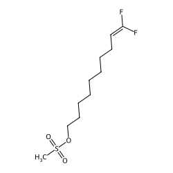 CS(=O)(=O)OCCCCCCCCC=C(F)F